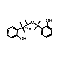 CC[C@](C)(O[Si](C)(C)c1ccccc1O)[Si](C)(C)c1ccccc1O